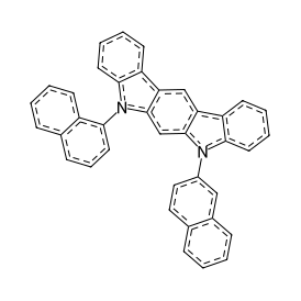 c1ccc2cc(-n3c4ccccc4c4cc5c6ccccc6n(-c6cccc7ccccc67)c5cc43)ccc2c1